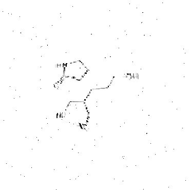 O=C1CCCN1.OCCCC(CO)CO